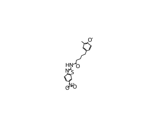 COc1ccc(CCCCC(=O)Nc2nc3ccc([N+](=O)[O-])cc3s2)cc1C